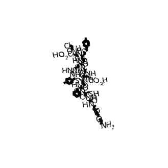 Cc1ccc(CSC[C@H](NC(=O)[C@H](CC(=O)O)NC(=O)CCl)C(=O)N[C@@H](CCCNC(=N)N)C(=O)NCC(=O)N[C@@H](CC(=O)O)C(=O)N[C@@H](CSCc2ccc(C)cc2)C(=O)N[C@@H](Cc2ccccc2)C(=O)N[C@@H](CS)C(=O)NCC(=O)NCCOCCOCCN)cc1